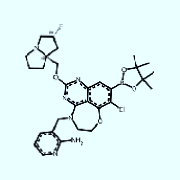 CC1(C)OB(c2cc3nc(OC[C@@]45CCCN4C[C@H](F)C5)nc4c3c(c2Cl)OCCN4Cc2cccnc2N)OC1(C)C